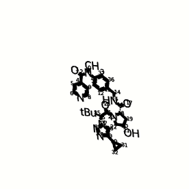 CN(C(=O)c1ccncc1)c1ccc(CNC(=O)[C@@H]2C[C@@H](O)CN2C(=O)[C@@H](n2cc(C3CC3)nn2)C(C)(C)C)cc1